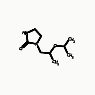 CC(C)OC(C)CN1CCNC1=O